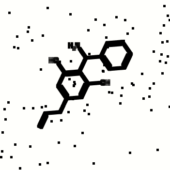 C=CCc1cc(O)c(C(N)c2ccccc2)c(O)c1